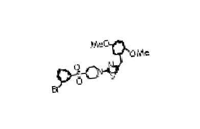 COc1ccc(OC)c(Cc2csc(N3CCC(S(=O)(=O)c4cccc(Br)c4)CC3)n2)c1